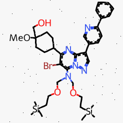 COC1(CO)CCC(c2nc3c(-c4ccc(-c5ccccc5)nc4)cnn3c(N(COCC[Si](C)(C)C)COCC[Si](C)(C)C)c2Br)CC1